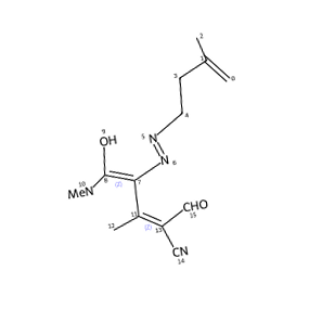 C=C(C)CCN=NC(=C(\O)NC)/C(C)=C(/C#N)C=O